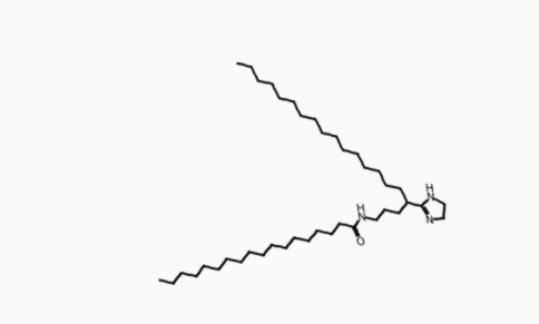 CCCCCCCCCCCCCCCCCC(=O)NCCCC(CCCCCCCCCCCCCCCC)C1=NCCN1